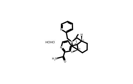 CO[C@@]1(c2ccnc(C(N)=O)c2)[C@@H]2CCC[C@H]1CN(Cc1ccccn1)C2.Cl.Cl